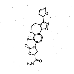 NC(=O)[C@H]1CN(c2ccc3c(c2F)OCCc2c(C4CC=NO4)noc2-3)C(=O)O1